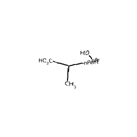 CCCCCC(C)C(=O)O.CCCO